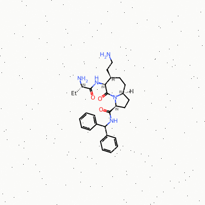 CC[C@H](N)C(=O)N[C@@H]1C(=O)N2[C@@H](CC[C@@H]1CCN)CC[C@H]2C(=O)NC(c1ccccc1)c1ccccc1